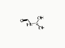 O=CNB(O)O